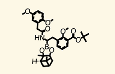 COc1ccc(OC)c(CC(=O)NC(Cc2cccc(C(=O)OC(C)(C)C)c2OC)B2OC3CC4C[C@H](C4(C)C)C3(C)O2)c1